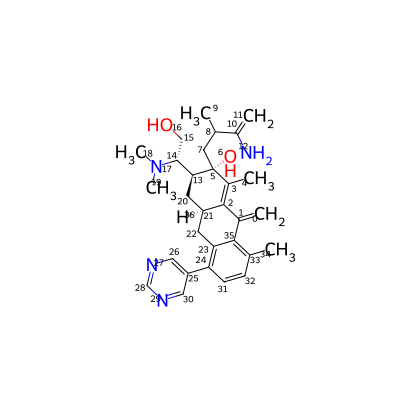 C=C1C2=C(C)[C@](O)(CC(C)C(=C)N)[C@H]([C@@H](CO)N(C)C)C[C@@H]2Cc2c(-c3cncnc3)ccc(C)c21